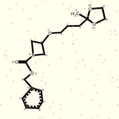 CC1(CCCOC2CN(C(=O)OCc3ccccc3)C2)OCCO1